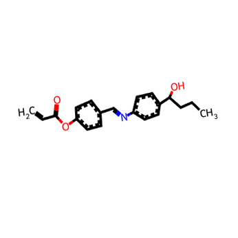 C=CC(=O)Oc1ccc(C=Nc2ccc(C(O)CCC)cc2)cc1